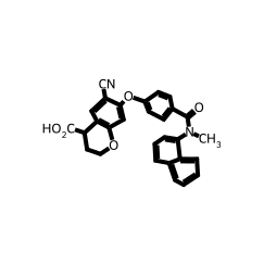 CN(C(=O)c1ccc(Oc2cc3c(cc2C#N)C(C(=O)O)CCO3)cc1)c1cccc2ccccc12